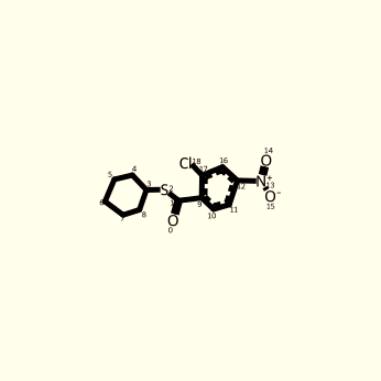 O=C(SC1CCCCC1)c1ccc([N+](=O)[O-])cc1Cl